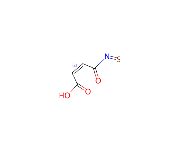 O=C(O)/C=C\C(=O)N=S